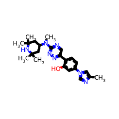 Cc1cn(-c2ccc(-c3cnc(N(C)C4CC(C)(C)NC(C)(C)C4)nn3)c(O)c2)cn1